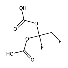 O=C(O)OC(F)(CF)OC(=O)O